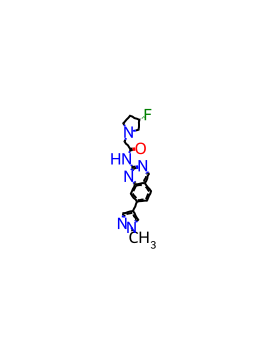 Cn1cc(-c2ccc3cnc(NC(=O)CN4CC[C@H](F)C4)nc3c2)cn1